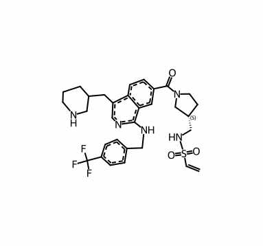 C=CS(=O)(=O)NC[C@H]1CCN(C(=O)c2ccc3c(CC4CCCNC4)cnc(NCc4ccc(C(F)(F)F)cc4)c3c2)C1